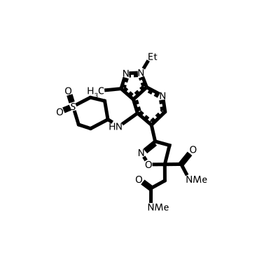 CCn1nc(C)c2c(NC3CCS(=O)(=O)CC3)c(C3=NOC(CC(=O)NC)(C(=O)NC)C3)cnc21